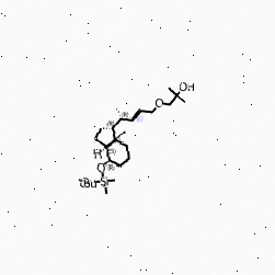 C[C@H](/C=C/COCC(C)(C)O)[C@H]1CC[C@@H]2[C@H](O[Si](C)(C)C(C)(C)C)CCC[C@@]12C